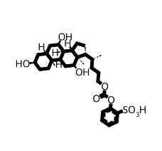 C[C@H](CCCOC(=O)Oc1ccccc1S(=O)(=O)O)[C@H]1CC[C@H]2[C@@H]3[C@H](O)C[C@@H]4C[C@H](O)CC[C@]4(C)[C@H]3C[C@H](O)[C@]12C